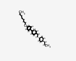 CCCCCCCOc1ccc(-c2ccc(CC[C@H]3CC[C@H](CCC)CC3)cn2)cc1